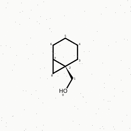 OC[C@]12CCCCC1C2